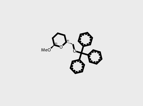 CO[C@H]1CCC[C@H](COC(c2ccccc2)(c2ccccc2)c2ccccc2)O1